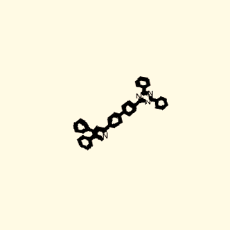 C1=CCC(c2nc(C3=CC=C(C4=CC=C(c5cc(C6C=CC=CC6)c(C6CCCCC6)cn5)CC4)CC3)nc(C3CCCCC3)n2)C=C1